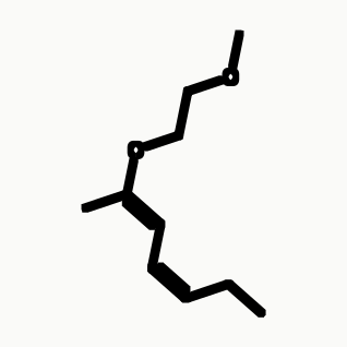 CC/C=C\C=C(/C)OCCOC